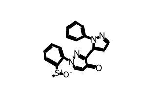 C[S+]([O-])c1ccccc1-n1ccc(=O)c(-c2ccnn2-c2ccccc2)n1